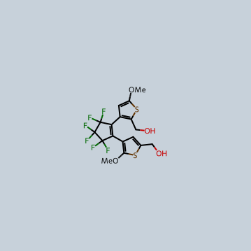 COc1cc(C2=C(c3cc(CO)sc3OC)C(F)(F)C(F)(F)C2(F)F)c(CO)s1